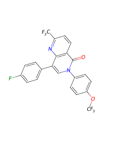 O=c1c2ccc(C(F)(F)F)nc2c(-c2ccc(F)cc2)cn1-c1ccc(OC(F)(F)F)cc1